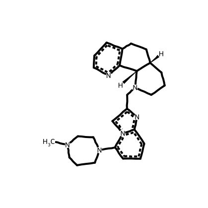 CN1CCCN(c2cccc3nc(CN4CCC[C@H]5CCc6cccnc6[C@H]54)cn23)CC1